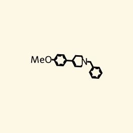 COc1ccc(C2=CCN(Cc3ccccc3)CC2)cc1